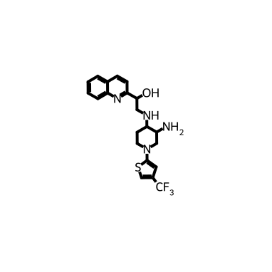 NC1CN(c2cc(C(F)(F)F)cs2)CCC1NCC(O)c1ccc2ccccc2n1